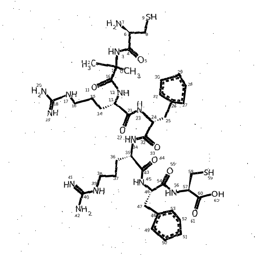 CC(C)(NC(=O)[C@@H](N)CS)C(=O)N[C@@H](CCCNC(=N)N)C(=O)N[C@H](Cc1ccccc1)C(=O)N[C@@H](CCCNC(=N)N)C(=O)N[C@@H](Cc1ccccc1)C(=O)N[C@@H](CS)C(=O)O